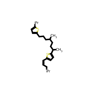 CC(C)C/C=C\c1ccc(C(C)CCC(C)CCCc2ccc(C(C)C)s2)s1